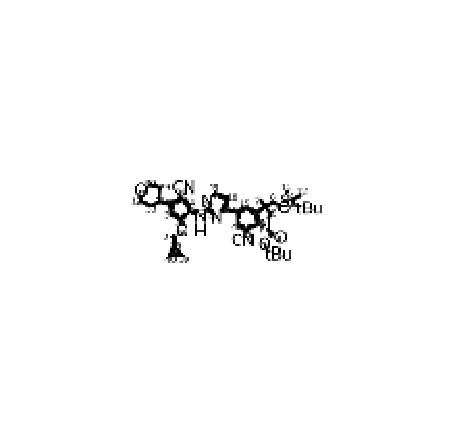 CC(C)(C)OC(=O)N1CC(C)(CO[Si](C)(C)C(C)(C)C)c2cc(-c3ccnc(Nc4cc(C#N)c(C5CCOCC5)cc4OCC4CC4)n3)cc(C#N)c21